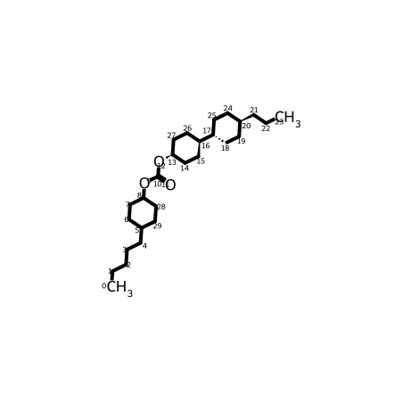 CCCCCC1CCC(OC(=O)O[C@H]2CC[C@H]([C@H]3CC[C@H](CCC)CC3)CC2)CC1